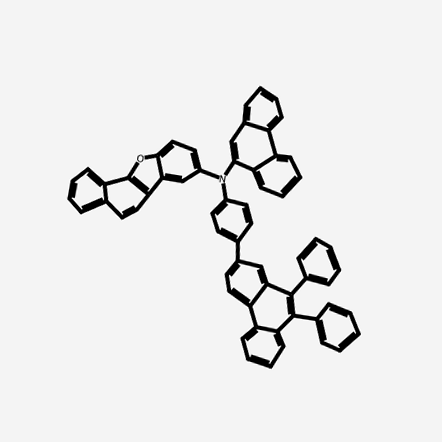 c1ccc(-c2c(-c3ccccc3)c3cc(-c4ccc(N(c5ccc6oc7c8ccccc8ccc7c6c5)c5cc6ccccc6c6ccccc56)cc4)ccc3c3ccccc23)cc1